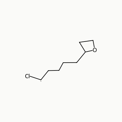 Cl[CH]CCCCC1CCO1